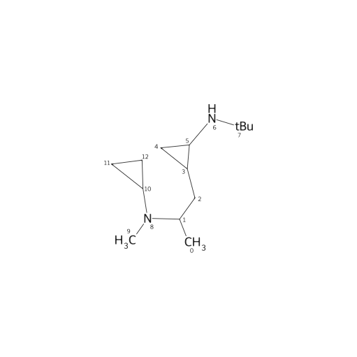 CC(CC1CC1NC(C)(C)C)N(C)C1CC1